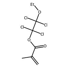 C=C(C)C(=O)OC(Cl)(Cl)C(Cl)(Cl)OCC